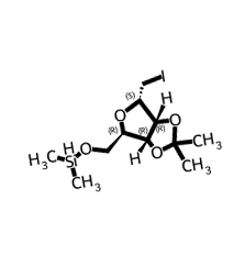 C[SiH](C)OC[C@H]1O[C@H](CI)[C@@H]2OC(C)(C)O[C@@H]21